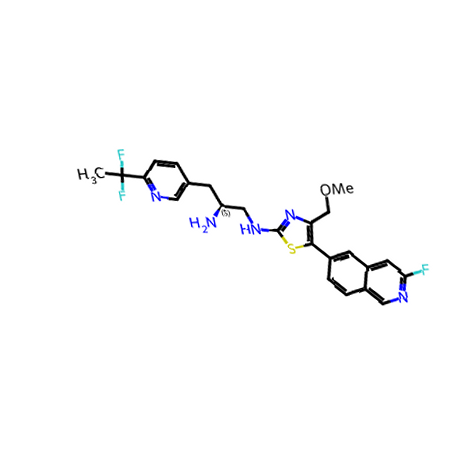 COCc1nc(NC[C@@H](N)Cc2ccc(C(C)(F)F)nc2)sc1-c1ccc2cnc(F)cc2c1